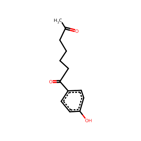 CC(=O)CCCCC(=O)c1ccc(O)cc1